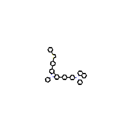 c1ccc(-c2ccc(-c3ccc(-c4ccc5c(c4)c4cc(-c6ccc(-c7ccc(N(c8ccccc8)c8cccc9ccccc89)cc7)cc6)ccc4n5-c4ccccc4)cc3)s2)cc1